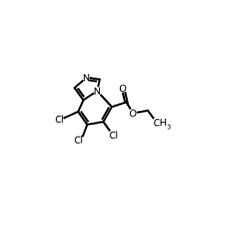 CCOC(=O)c1c(Cl)c(Cl)c(Cl)c2cncn12